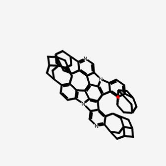 c1cc2c(c3c1C1CC4CC5CC3CC45C1)c1c3c4c5c(ncc4n4c6ccc7c(c6c(c6c8c9c(ncc8n2c61)C1CC2CC6CC9CC26C1)c34)C1CC2CC(CC7C2)C1)C1CC2CC(C1)C5C2